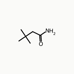 CC(C)(C)CC(N)=O